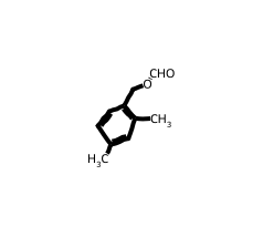 Cc1ccc(COC=O)c(C)c1